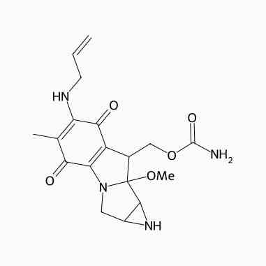 C=CCNC1=C(C)C(=O)C2=C(C1=O)C(COC(N)=O)C1(OC)C3NC3CN21